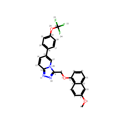 COc1ccc2c(OCc3nnc4ccc(-c5ccc(OC(F)(F)F)cc5)cn34)cccc2c1